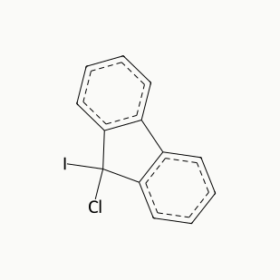 ClC1(I)c2ccccc2-c2ccccc21